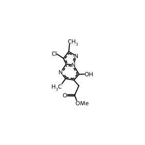 COC(=O)Cc1c(C)nc2c(Cl)c(C)nn2c1O